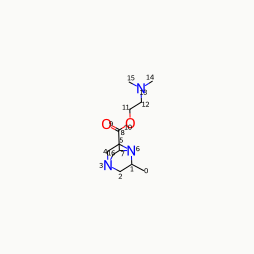 CC1CN2CCN1C(C(=O)OCCN(C)C)C2